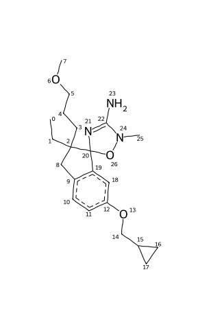 CCC1(CCCOC)Cc2ccc(OCC3CC3)cc2C12N=C(N)N(C)O2